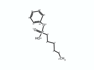 CCCCCCP(=O)(O)Oc1ccccc1